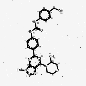 CCn1nnc2c(N3CCOCC3C)nc(-c3ccc(NC(=O)Nc4ccc(CO)cc4)cc3)nc21